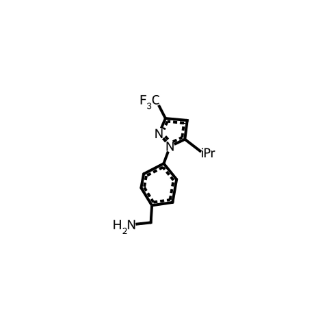 CC(C)c1cc(C(F)(F)F)nn1-c1ccc(CN)cc1